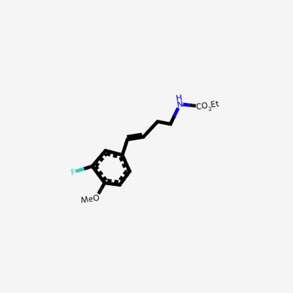 CCOC(=O)NCC/C=C/c1ccc(OC)c(F)c1